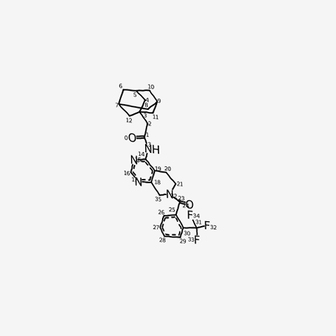 O=C(CC12CC3CC(CC(C3)C1)C2)Nc1ncnc2c1CCN(C(=O)c1ccccc1C(F)(F)F)C2